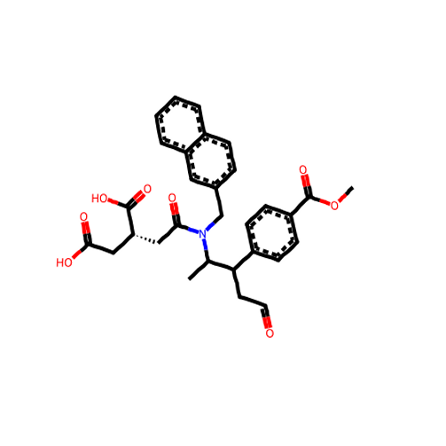 COC(=O)c1ccc(C(CC=O)C(C)N(Cc2ccc3ccccc3c2)C(=O)C[C@H](CC(=O)O)C(=O)O)cc1